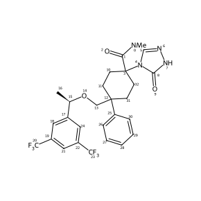 CNC(=O)C1(n2cn[nH]c2=O)CCC(CO[C@H](C)c2cc(C(F)(F)F)cc(C(F)(F)F)c2)(c2ccccc2)CC1